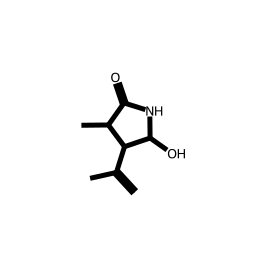 C=C(C)C1C(O)NC(=O)C1C